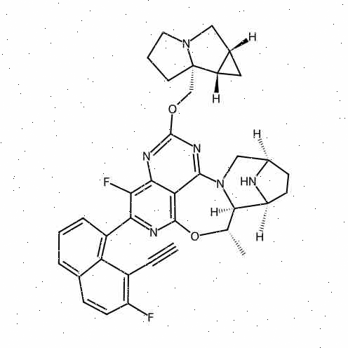 C#Cc1c(F)ccc2cccc(-c3nc4c5c(nc(OC[C@]67CCCN6C[C@@H]6C[C@@H]67)nc5c3F)N3C[C@H]5CC[C@H](N5)[C@H]3[C@H](C)O4)c12